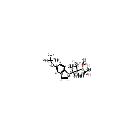 [2H]C([2H])([2H])Oc1ccc2c(ccn2C([2H])([2H])[C@@]([2H])(N(C([2H])([2H])[2H])C([2H])([2H])[2H])C([2H])([2H])[2H])c1